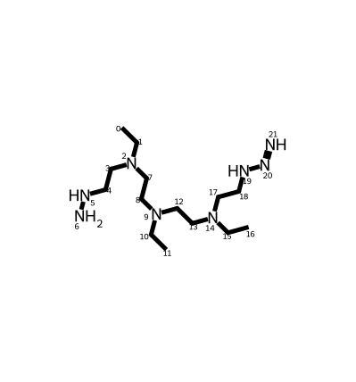 CCN(CCNN)CCN(CC)CCN(CC)CCNN=N